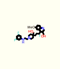 COc1ccc2ncc(CO)c([C@H](F)CCC3(CO)CCN(CCNc4cc(F)cc(F)c4)CC3)c2c1